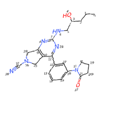 CCCC(O)CNc1nc2c(c(-c3cccc(N4CCCC4=O)c3)n1)CN(C#N)C2